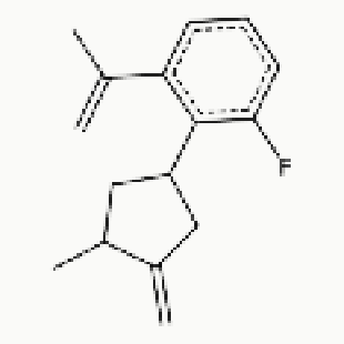 C=C(C)c1cccc(F)c1C1CC(=C)C(C)C1